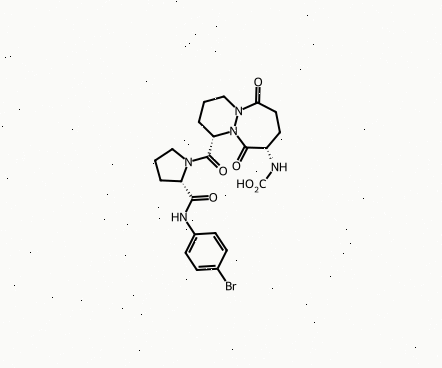 O=C(O)N[C@H]1CCC(=O)N2CCC[C@@H](C(=O)N3CCC[C@H]3C(=O)Nc3ccc(Br)cc3)N2C1=O